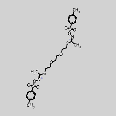 C/C(=N/OS(=O)(=O)c1ccc(C)cc1)SCCOCCOCCS/C(C)=N/OS(=O)(=O)c1ccc(C)cc1